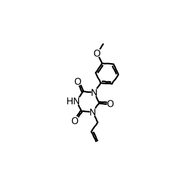 C=CCn1c(=O)[nH]c(=O)n(-c2cccc(OC)c2)c1=O